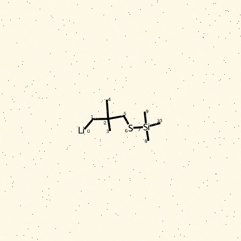 [Li][CH2]C(C)(C)CS[Si](C)(C)C